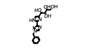 OC[C@@H](O)[C@@H](O)[C@H](O)c1c[nH]c(-c2ncn(Cc3ccccc3)n2)n1